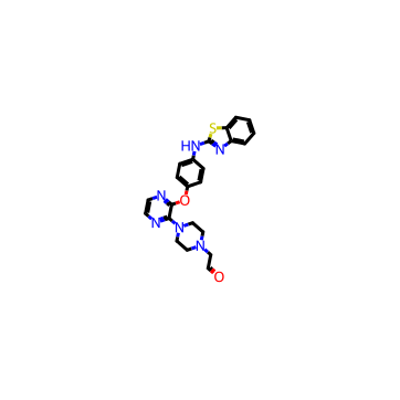 O=CCN1CCN(c2nccnc2Oc2ccc(Nc3nc4ccccc4s3)cc2)CC1